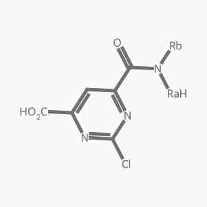 O=C(O)c1cc(C(=O)[N]([Rb])[RaH])nc(Cl)n1